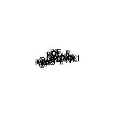 O=S(=O)(c1ccn(S(=O)(=O)C2CC2)c1)n1nc(N2CCN(c3ncc(Cl)cc3F)CC23CC3)c2c(F)ccc(F)c21